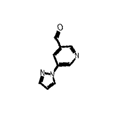 O=Cc1cncc(-n2cccn2)c1